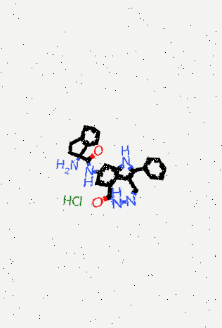 Cl.NC1(C(=O)Nc2cc3c4c(c(-c5ccccc5)[nH]c4c2)C=NNC3=O)CCc2ccccc21